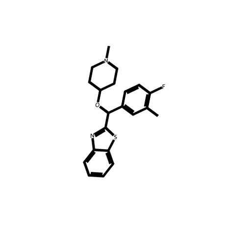 Cc1cc(C(OC2CCN(C)CC2)c2nc3ccccc3s2)ccc1F